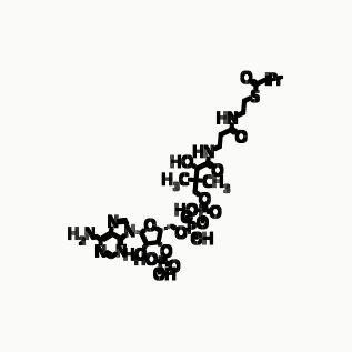 CC(C)C(=O)SCCNC(=O)CCNC(=O)[C@H](O)C(C)(C)COP(=O)(O)OP(=O)(O)OC[C@H]1O[C@@H](n2cnc3c(N)ncnc32)[C@H](O)[C@@H]1OP(=O)(O)O